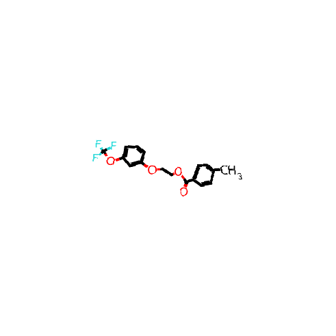 Cc1ccc(C(=O)OCCOc2cccc(OC(F)(F)F)c2)cc1